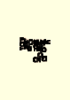 CCn1c(=O)n(CC2CC2)c(=O)c2cc(NC(=O)[C@@H]3CN(C(C)=O)C[C@@H]3NC(=O)c3ccc(C#N)c(Cl)c3)ccc21